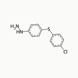 NNc1ccc(Sc2ccc(Cl)cc2)cc1